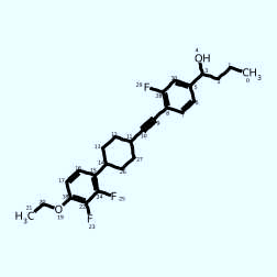 CCCC(O)c1ccc(C#CC2CCC(c3ccc(OCC)c(F)c3F)CC2)c(F)c1